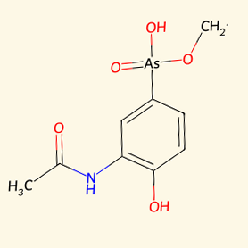 [CH2]O[As](=O)(O)c1ccc(O)c(NC(C)=O)c1